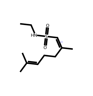 CCNS(=O)(=O)/C=C(/C)CCC=C(C)C